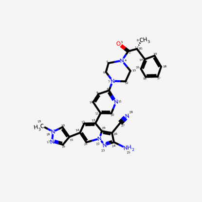 C[C@@H](C(=O)N1CCN(c2ccc(-c3cc(-c4cnn(C)c4)cn4nc(N)c(C#N)c34)cn2)CC1)c1ccccc1